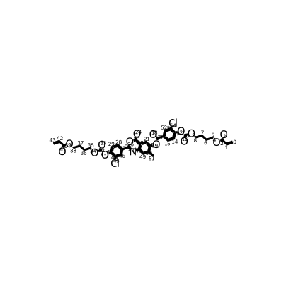 C=CC(=O)OCCCCOC(=O)Oc1ccc(C(=O)Oc2cc3c(=O)oc(-c4ccc(OC(=O)OCCCCOC(=O)C=C)c(Cl)c4)nc3cc2C)cc1Cl